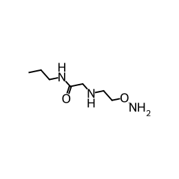 CCCNC(=O)CNCCON